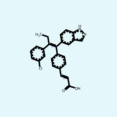 CC/C(=C(/c1ccc(/C=C/C(=O)O)cc1)c1ccc2[nH]ncc2c1)c1cccc(Cl)c1